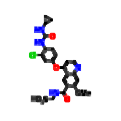 COc1cc2nccc(Oc3ccc(NC(=O)NC4CC4)c(Cl)c3)c2cc1C(=O)NCS(=O)(=O)O